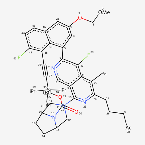 COCOc1cc(-c2ncc3c(N4CC5CCC(C4)N5C(=O)OC(C)(C)C)nc(CCCC(C)=O)c(C)c3c2F)c2c(C#C[Si](C(C)C)(C(C)C)C(C)C)c(F)ccc2c1